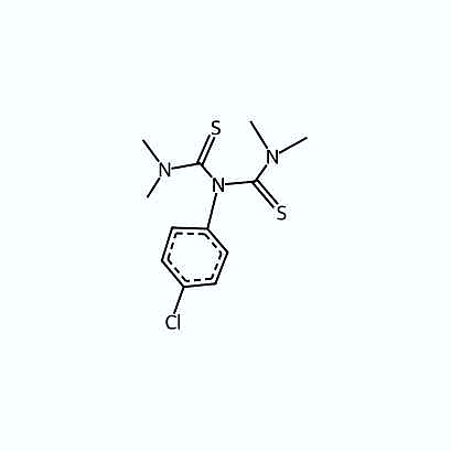 CN(C)C(=S)N(C(=S)N(C)C)c1ccc(Cl)cc1